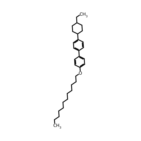 CCCCCCCCCCCCOc1ccc(-c2ccc(C3CCC(CC)CC3)cc2)cc1